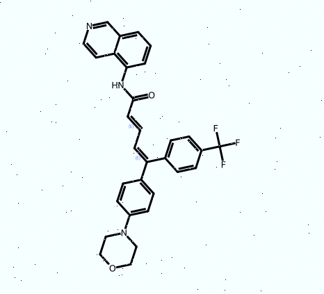 O=C(/C=C/C=C(/c1ccc(N2CCOCC2)cc1)c1ccc(C(F)(F)F)cc1)Nc1cccc2cnccc12